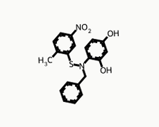 Cc1ccc([N+](=O)[O-])cc1SN(Cc1ccccc1)c1ccc(O)cc1O